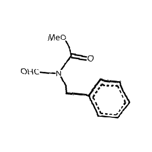 COC(=O)N(C=O)Cc1ccccc1